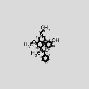 C=CCN1CCC2(c3cccc(O)c3)CC(N(C)C(=O)c3ccccc3)CC(OC)C2C1